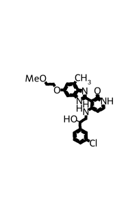 COCCOc1cc(C)c2nc(-c3c(NC[C@@H](O)c4cccc(Cl)c4)cc[nH]c3=O)[nH]c2c1